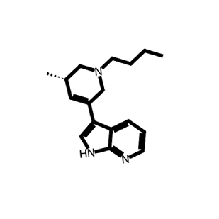 CCCCN1CC(c2c[nH]c3ncccc23)=C[C@H](C)C1